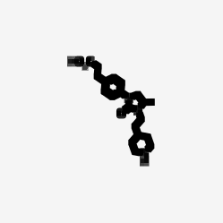 CC1CN(c2ccc(CCC(=O)O)cc2)C(=O)N1CCC1CCNCC1